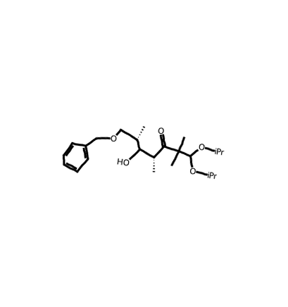 CC(C)OC(OC(C)C)C(C)(C)C(=O)[C@H](C)C(O)[C@@H](C)COCc1ccccc1